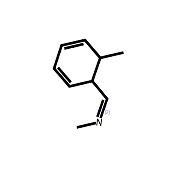 C/N=C\C1C=CC=CC1C